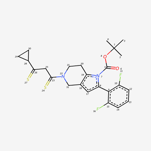 CC(C)(C)OC(=O)n1c(-c2c(F)cccc2F)cc2c1CCN(C(=S)CC(=S)C1CC1)C2